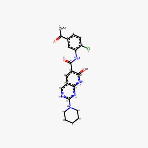 COC(=O)c1ccc(Cl)c(NC(=O)c2cc3cnc(N4CCCCC4)nc3[nH]c2=O)c1